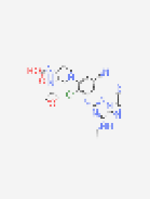 CCNc1nc(Nc2cc(C#N)cc(N3CC[C@@H](N(C)C(=O)O)[C@@H](NC4COC4)C3)c2Cl)nn2c(C#N)cnc12